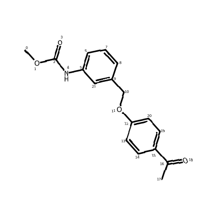 COC(=O)Nc1cccc(COc2ccc(C(C)=O)cc2)c1